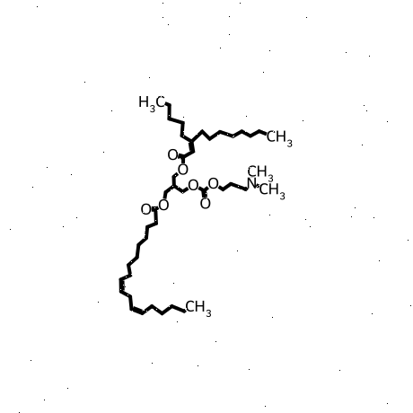 CCCCC/C=C\C/C=C\CCCCCCCC(=O)OCC(COC(=O)/C=C(\CCCCC)CCCCCCCC)COC(=O)OCCCN(C)C